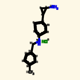 Cl.NC1CC1c1ccc(NCc2ccc(C(F)(F)F)cc2)cc1